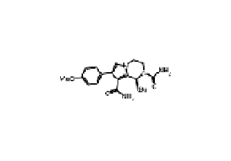 COc1ccc(-c2cn3c(c2C(N)=O)C(C(C)(C)C)N(C(N)=O)CC3)cc1